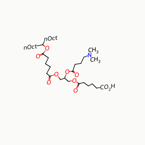 CCCCCCCCC(CCCCCCCC)OC(=O)CCCCC(=O)OCC(COC(=O)CCCCC(=O)O)OC(=O)CCCN(C)C